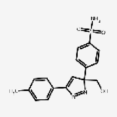 Cc1ccc(C2=CC(CO)(c3ccc(S(N)(=O)=O)cc3)N=N2)cc1